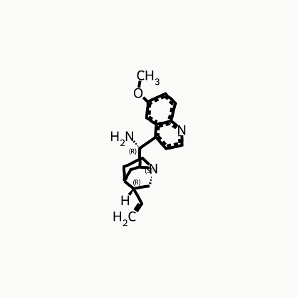 C=C[C@H]1C[N@@]2CCC1CC2[C@H](N)c1ccnc2ccc(OC)cc12